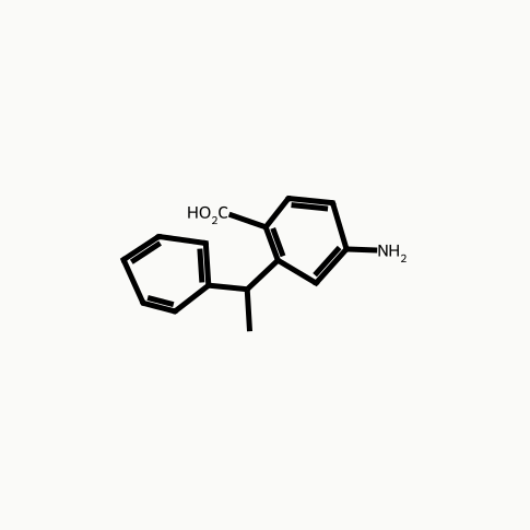 CC(c1ccccc1)c1cc(N)ccc1C(=O)O